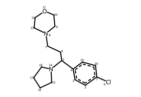 Clc1ccc(C(CCN2CCOCC2)N2CCCC2)cc1